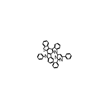 c1ccc(-c2cc(-n3c4ccccc4c4c5c6ccccc6sc5c5c(c6ccccc6n5-c5ccccc5)c43)nc(-c3ccccc3)n2)cc1